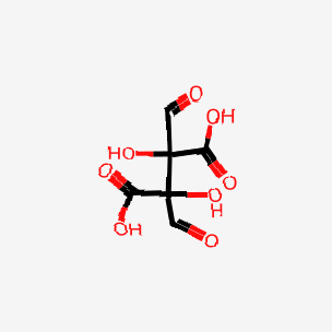 O=CC(O)(C(=O)O)C(O)(C=O)C(=O)O